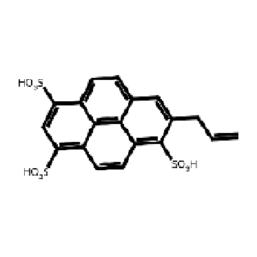 C=CCc1cc2ccc3c(S(=O)(=O)O)cc(S(=O)(=O)O)c4ccc(c1S(=O)(=O)O)c2c34